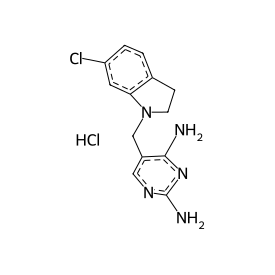 Cl.Nc1ncc(CN2CCc3ccc(Cl)cc32)c(N)n1